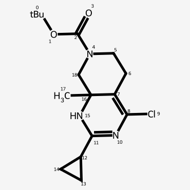 CC(C)(C)OC(=O)N1CCC2=C(Cl)N=C(C3CC3)NC2(C)C1